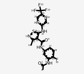 CC(=O)Nc1cc(NC(=O)c2c(C)nsc2Nc2cnc(C(F)(F)F)cn2)ccc1F